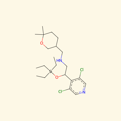 CC[Si](CC)(CC)OC(CNCC1CCC(C)(C)OC1)c1c(Cl)cncc1Cl